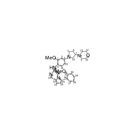 COc1cc(N2CCC(N3CCOCC3)C2)ccc1Nc1ncc2ccc(-c3ccccc3OC)n2n1